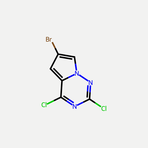 Clc1nc(Cl)c2cc(Br)cn2n1